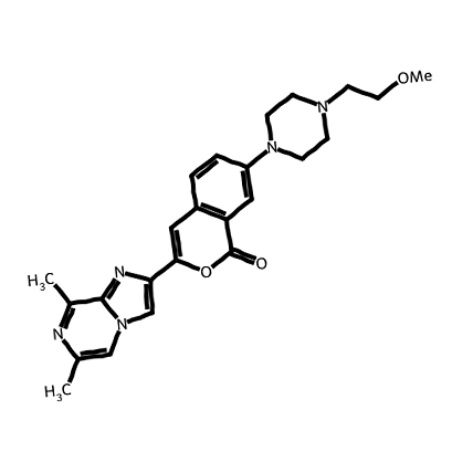 COCCN1CCN(c2ccc3cc(-c4cn5cc(C)nc(C)c5n4)oc(=O)c3c2)CC1